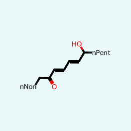 CCCCCCCCCCC(=O)/C=C/C=C/C(O)CCCCC